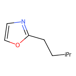 CC(C)CCc1ncco1